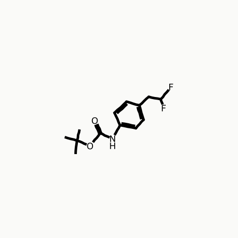 CC(C)(C)OC(=O)Nc1ccc(CC(F)F)cc1